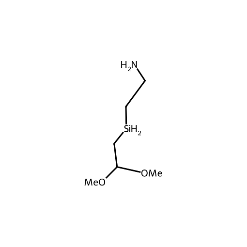 COC(C[SiH2]CCN)OC